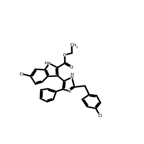 CCOC(=O)c1[nH]c2cc(Cl)ccc2c1-c1[nH]c(Cc2ccc(Cl)cc2)nc1-c1ccccc1